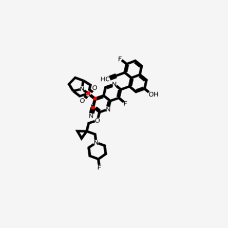 C#Cc1c(F)ccc2cc(O)cc(-c3ncc4c(N5CC6CCC(C5)N6S(=O)(=O)CC#N)nc(OCC5(CN6CCC(F)CC6)CC5)nc4c3F)c12